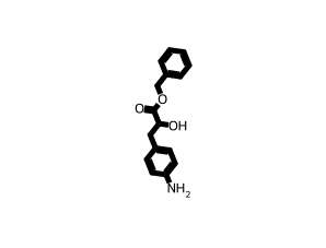 Nc1ccc(CC(O)C(=O)OCc2ccccc2)cc1